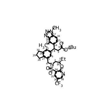 CC[C@@H]1CN(Cc2cc(C(CC(=O)OC(C)(C)C)c3ccc4c(nnn4C)c3C)cc3c2CCC3)S(=O)(=O)c2cc(C(F)(F)F)cnc2O1